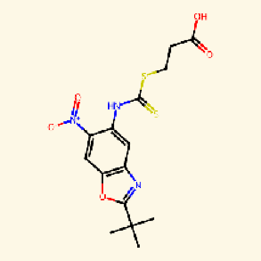 CC(C)(C)c1nc2cc(NC(=S)SCCC(=O)O)c([N+](=O)[O-])cc2o1